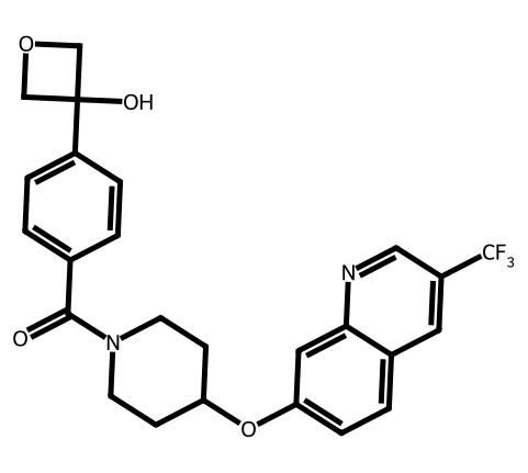 O=C(c1ccc(C2(O)COC2)cc1)N1CCC(Oc2ccc3cc(C(F)(F)F)cnc3c2)CC1